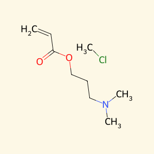 C=CC(=O)OCCCN(C)C.CCl